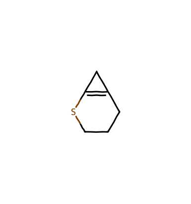 C1CSC2=C(C1)C2